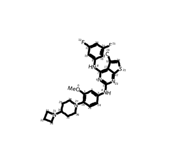 COc1cc(Nc2nc(Nc3cc(F)cc(F)c3)c3c(C)csc3n2)ccc1N1CCC(N2CCC2)CC1